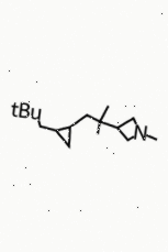 CN1CC(C(C)(C)CC2CC2CC(C)(C)C)C1